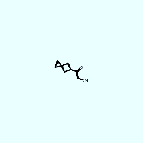 N#CCC(=O)C1CC2(CC2)C1